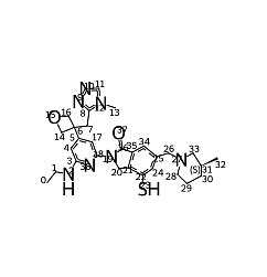 CCNc1cc(C2(Cc3nncn3C)COC2)cc(N2Cc3c(S)cc(CN4CCC[C@H](C)C4)cc3C2=O)n1